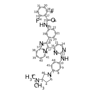 CN(C)C1CCN(c2ccc(Nc3nccc(-c4c(-c5cccc(NC(=O)c6c(F)cccc6F)c5)nc5ccccn45)n3)cc2)C1